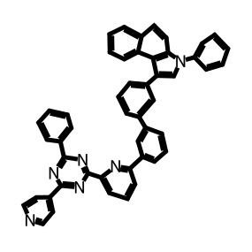 c1ccc(-c2nc(-c3ccncc3)nc(-c3cccc(-c4cccc(-c5cccc(-c6cn(-c7ccccc7)c7ccc8ccccc8c67)c5)c4)n3)n2)cc1